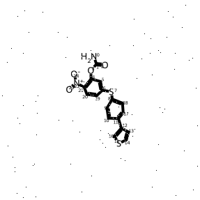 NC(=O)Oc1cc(Sc2ccc(-c3ccsc3)cc2)ccc1[N+](=O)[O-]